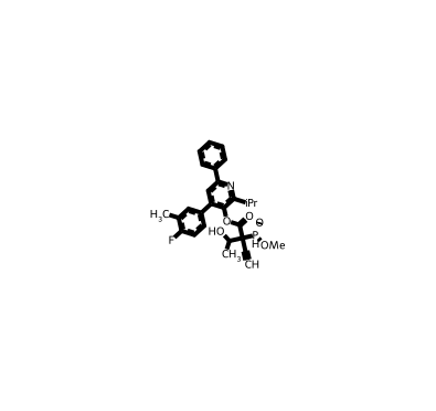 C#CC(C(=O)Oc1c(-c2ccc(F)c(C)c2)cc(-c2ccccc2)nc1C(C)C)(C(C)O)[PH](=O)OC